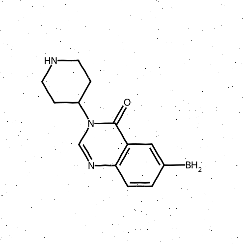 Bc1ccc2ncn(C3CCNCC3)c(=O)c2c1